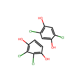 Oc1cc(Cl)c(O)cc1Cl.Oc1ccc(O)c(Cl)c1Cl